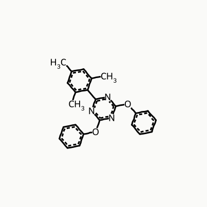 Cc1cc(C)c(-c2nc(Oc3ccccc3)nc(Oc3ccccc3)n2)c(C)c1